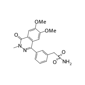 COc1cc2c(-c3cccc(CS(N)(=O)=O)c3)nn(C)c(=O)c2cc1OC